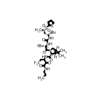 C=CCNC(=O)C(=O)C(CC(F)(F)F)NC(=O)[C@@H]1[C@@H]2[C@H](CN1C(=O)[C@@H](NC(=O)N[C@H](CN(C)S(=O)(=O)c1cccs1)[C@@H](C)CC)C(C)(C)C)C2(C)C